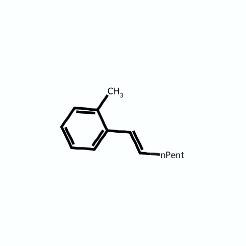 CCCCCC=Cc1ccccc1C